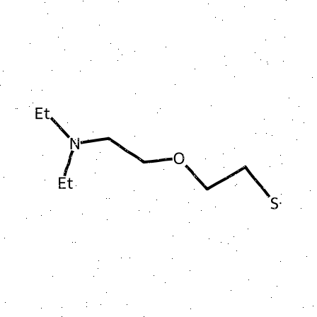 CCN(CC)CCOCC[S]